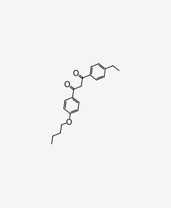 CCCCOc1ccc(C(=O)CC(=O)c2ccc(CC)cc2)cc1